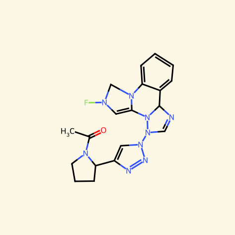 CC(=O)N1CCCC1c1cn(N2C=NC3c4ccccc4N4CN(F)C=C4N32)nn1